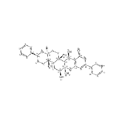 C[C@]12CC[C@@H]3O[C@H](c4ccccc4)OC[C@@]3(C)C1C[C@H](O)[C@@]1(C)Oc3cc(-c4cccnc4)oc(=O)c3[C@H](O)C21